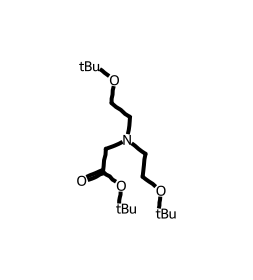 CC(C)(C)OCCN(CCOC(C)(C)C)CC(=O)OC(C)(C)C